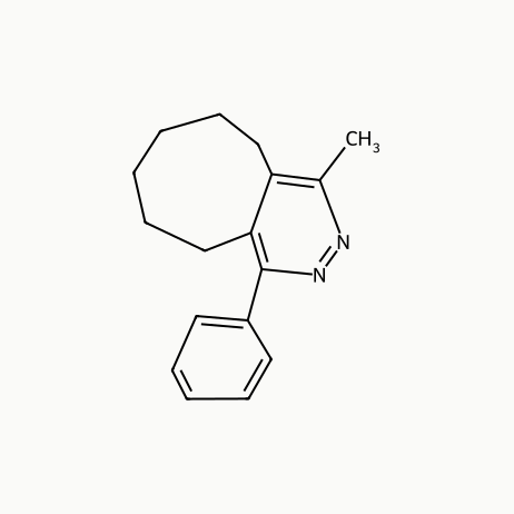 Cc1nnc(-c2ccccc2)c2c1CCCCCC2